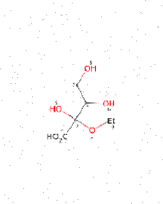 CCOC(O)(C(=O)O)C(O)CO